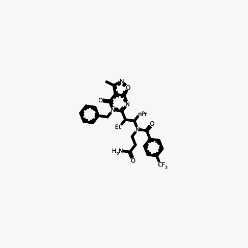 CCCC(C(CC)c1nc2onc(C)c2c(=O)n1Cc1ccccc1)N(CCC(N)=O)C(=O)c1ccc(C(F)(F)F)cc1